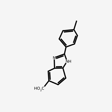 Cc1ccc(-c2nc3cc(C(=O)O)ccc3[nH]2)cc1